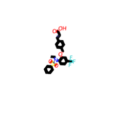 CCN(c1ccc(C(F)(F)F)cc1OCc1ccc(/C=C/C(=O)O)cc1)S(=O)(=O)c1ccccc1